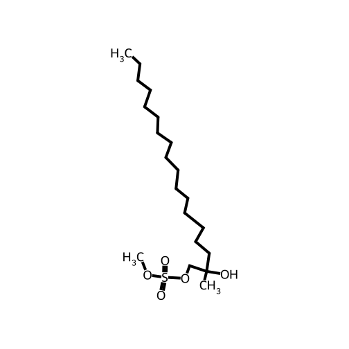 CCCCCCCCCCCCCCCCC(C)(O)COS(=O)(=O)OC